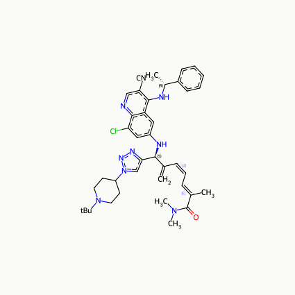 C=C(/C=C\C=C(/C)C(=O)N(C)C)[C@H](Nc1cc(Cl)c2ncc(C#N)c(N[C@H](C)c3ccccc3)c2c1)c1cn(C2CCN(C(C)(C)C)CC2)nn1